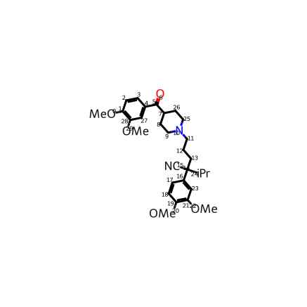 COc1ccc(C(=O)C2CCN(CCCC(C#N)(c3ccc(OC)c(OC)c3)C(C)C)CC2)cc1OC